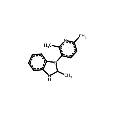 Cc1ccc(N2c3ccccc3NC2C)c(C)n1